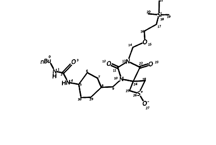 CCCCNC(=O)NC1CCC(CN2C(=O)N(COCC[Si](C)(C)C)C(=O)C23C[S+]([O-])C3)CC1